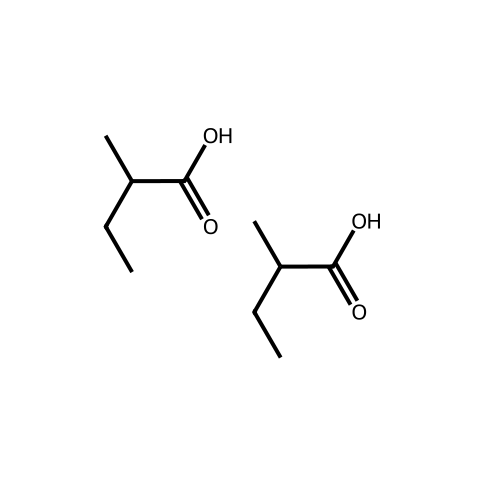 CCC(C)C(=O)O.CCC(C)C(=O)O